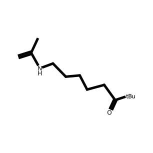 C=C(C)NCCCCCC(=O)C(C)(C)C